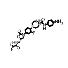 Nc1ccc(NC(=O)N2CCN(c3ccc(N4C[C@H](CNC(=O)C(F)F)OC4=O)cc3F)CCN2)cc1